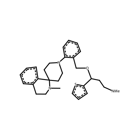 CNCCC(OCc1ccccc1N1CCC2(CC1)c1ccccc1CCN2C)c1cccs1